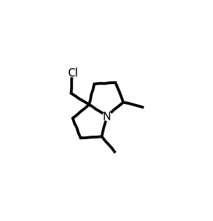 CC1CCC2(CCl)CCC(C)N12